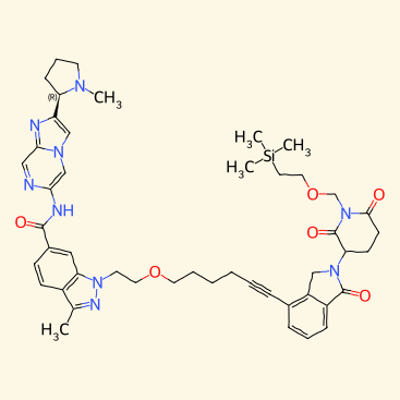 Cc1nn(CCOCCCCC#Cc2cccc3c2CN(C2CCC(=O)N(COCC[Si](C)(C)C)C2=O)C3=O)c2cc(C(=O)Nc3cn4cc([C@H]5CCCN5C)nc4cn3)ccc12